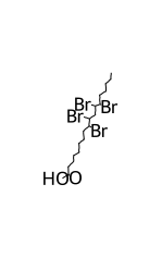 CCCCCC(Br)C(Br)CC(Br)C(Br)CCCCCCCC(=O)O